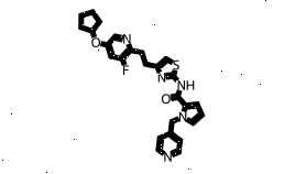 O=C(Nc1nc(CCc2ncc(OC3CCCC3)cc2F)cs1)c1cccn1Cc1ccncc1